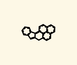 C1=C2Cc3ccc4cccc5ccc(c3c45)=C2c2ccccc21